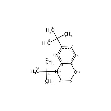 CC(C)(C)c1ccc2c(n1)N(C(C)(C)C)CCO2